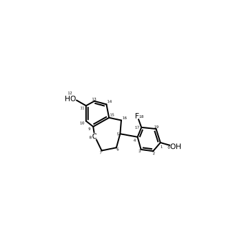 Oc1ccc(C2CCCc3cc(O)ccc3C2)c(F)c1